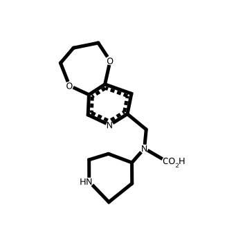 O=C(O)N(Cc1cc2c(cn1)OCCCO2)C1CCNCC1